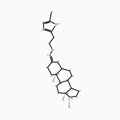 Cc1cnc(CCON=C2CC[C@@]3(C)C(CCC4C3CC[C@@]3(C)C4CC[C@@H]3C)C2)o1